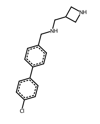 Clc1ccc(-c2ccc(CNCC3CNC3)cc2)cc1